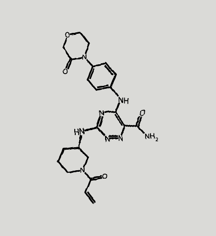 C=CC(=O)N1CCC[C@@H](Nc2nnc(C(N)=O)c(Nc3ccc(N4CCOCC4=O)cc3)n2)C1